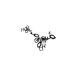 O=C(Nc1ccc(Cl)cc1C(=O)N/N=C/c1cccc(F)c1)c1cccc(CSCCS(=O)(=O)O)c1